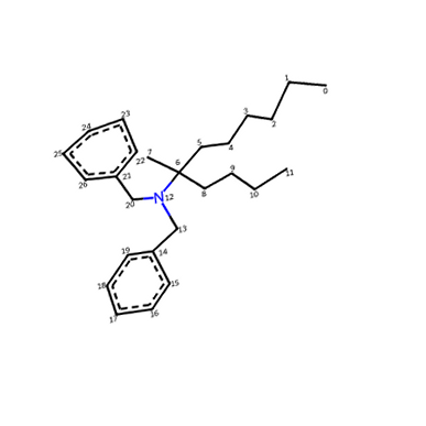 CCCCCCC(C)(CCCC)N(Cc1ccccc1)Cc1ccccc1